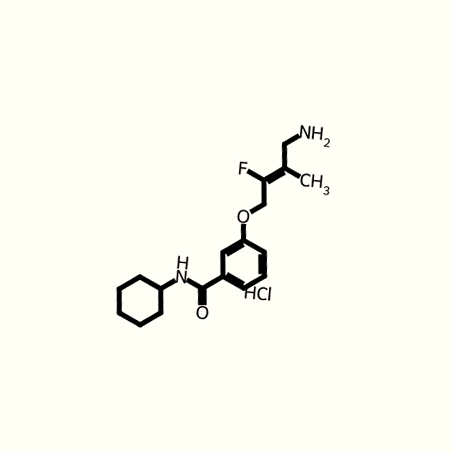 C/C(CN)=C(/F)COc1cccc(C(=O)NC2CCCCC2)c1.Cl